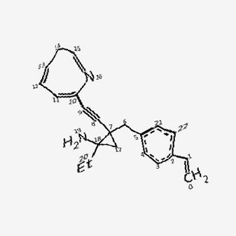 C=Cc1ccc(CC2(C#CC3=CC=CCC=N3)CC2(N)CC)cc1